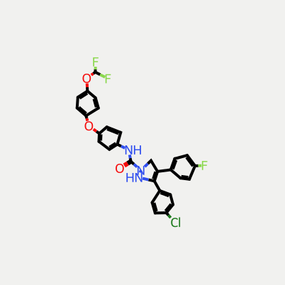 O=C(Nc1ccc(Oc2ccc(OC(F)F)cc2)cc1)N1CC(c2ccc(F)cc2)=C(c2ccc(Cl)cc2)N1